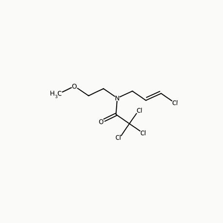 COCCN(CC=CCl)C(=O)C(Cl)(Cl)Cl